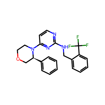 FC(F)(F)c1ccccc1CNc1nccc(N2CCOC[C@@H]2c2ccccc2)n1